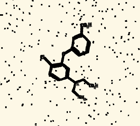 NC[C@H](CC(=O)O)c1ccc(Cl)c(Oc2cccc(C(=O)O)c2)c1